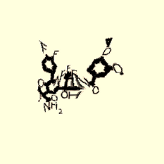 COc1cc(C(=O)NC[C@](O)(c2cc3c(c(-c4ccc(F)c(F)c4)n2)OC[C@]3(C)C(N)=O)C(F)(F)F)ccc1OC1CC1